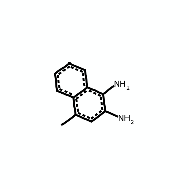 Cc1cc(N)c(N)c2ccccc12